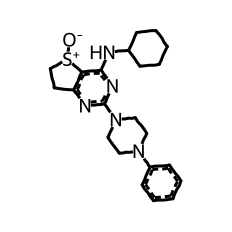 [O-][S+]1CCc2nc(N3CCN(c4ccccc4)CC3)nc(NC3CCCCC3)c21